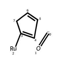 [C]=O.[Ru][C]1=CC=CC1